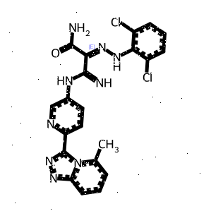 Cc1cccc2nnc(-c3ccc(NC(=N)/C(=N\Nc4c(Cl)cccc4Cl)C(N)=O)cn3)n12